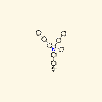 C[Si](C)(C)c1ccc(-c2ccc(-n3c(-c4ccccc4)c(-c4ccc(-c5ccccc5)cc4)c4cc(-c5ccc(-c6ccccc6)cc5)ccc43)cc2)cc1